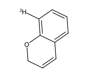 [2H]c1cccc2c1OCC=C2